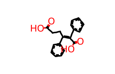 O=C(O)CC/C(=C(/C(=O)O)c1ccccc1)c1ccccc1